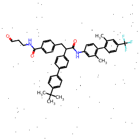 Cc1cc(NC(=O)C(Cc2ccc(C(=O)NCCC=O)cc2)c2ccc(-c3ccc(C(C)(C)C)cc3)cc2)ccc1-c1ccc(C(F)(F)F)cc1C